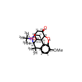 [2H]C1([2H])c2ccc(OC)c3c2[C@]24CCN(C([2H])([2H])[2H])[C@H]1[C@]2(O)CCC(=O)C4O3